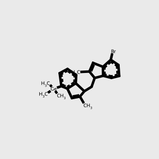 CC1=Cc2c(Br)cccc2C1CC1C(C)=Cc2c1ccc[c]2[Ge]([CH3])([CH3])[CH3]